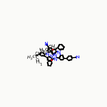 CC(C)(C)c1ccc2c(c1)c1ccccc1n2-c1cc(C#N)ccc1-c1nc(-c2ccccc2)nc(-c2ccc(-c3ccc(C#N)cc3)cc2-n2c3ccccc3c3cc(C(C)(C)C)ccc32)n1